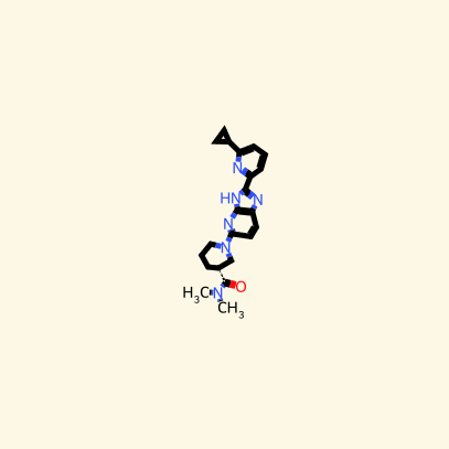 CN(C)C(=O)[C@@H]1CCCN(c2ccc3nc(-c4cccc(C5CC5)n4)[nH]c3n2)C1